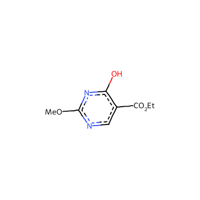 CCOC(=O)c1cnc(OC)nc1O